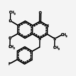 COc1cc2c(=O)nc(N(C)C)n(Cc3ccc(F)cc3)c2cc1OC